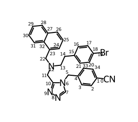 N#Cc1ccc(Cn2cnnc2CN(CCc2ccc(Br)cc2)Cc2cccc3ccccc23)cc1